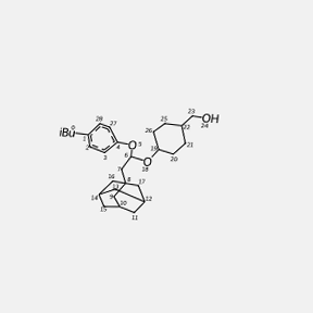 CCC(C)c1ccc(OC(CC23CC4CC(CC(C4)C2)C3)OC2CCC(CO)CC2)cc1